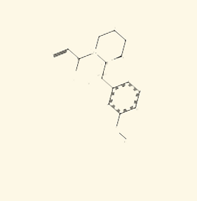 C=CC(I)N1CCCC[C@H]1[C@@H](O)c1cccc(OC)c1